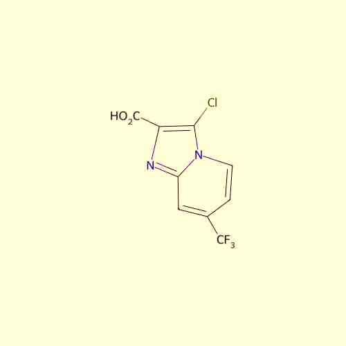 O=C(O)c1nc2cc(C(F)(F)F)ccn2c1Cl